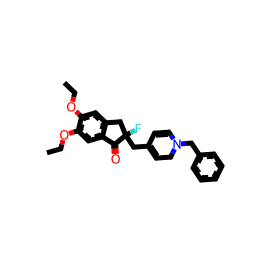 CCOc1cc2c(cc1OCC)C(=O)C(F)(CC1=CCN(Cc3ccccc3)C=C1)C2